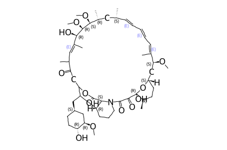 CO[C@@H]1[C@H](OC)[C@H](O)/C(C)=C/C(C)C(=O)CC2OC(=O)[C@@H]3[C@H](CCCN3C(=O)C(=O)[C@]3(O)O[C@@H](CC[C@H]3C)C[C@H](OC)/C(C)=C/C=C/C=C/[C@@H](C)C[C@H]1C)C2C[C@@H]1CC[C@@H](O)[C@H](OC)C1